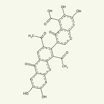 CC(=O)c1cc2c(=O)c3cc(O)c(O)cc3oc2c(C(C)=O)c1-c1coc2cc(O)c(O)c(C(=O)O)c2c1=O